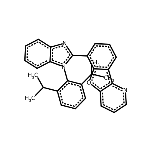 CC(C)c1cccc(C(C)C)c1-n1c(-c2cccc3c2oc2cccnc23)nc2ccccc21